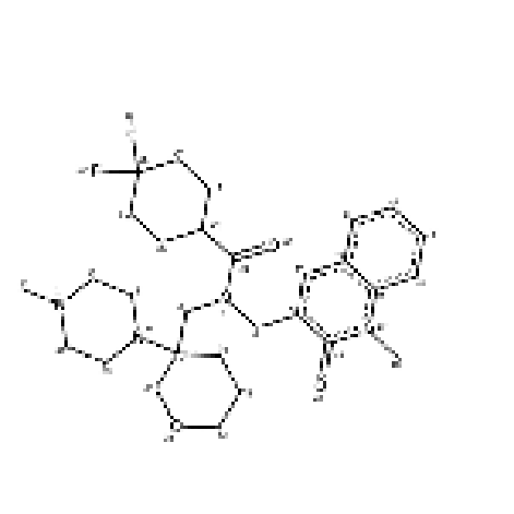 CN1CCN(C2(CN(Cc3cc4ccccc4n(C)c3=O)C(=O)C3CCC(F)(F)CC3)CCCOC2)CC1